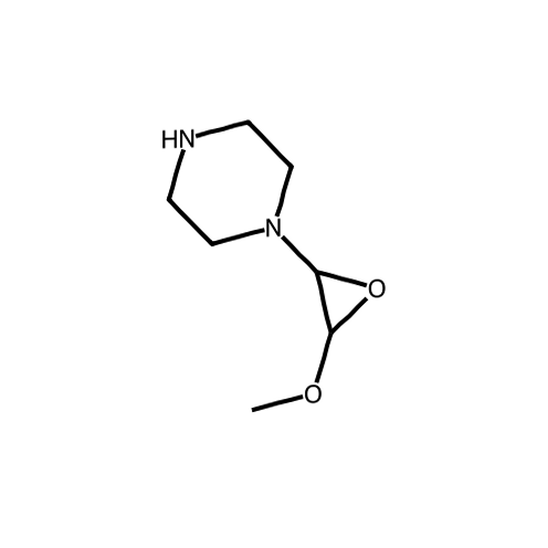 COC1OC1N1CCNCC1